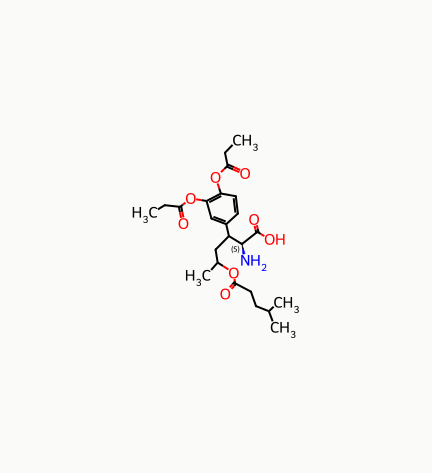 CCC(=O)Oc1ccc(C(CC(C)OC(=O)CCC(C)C)[C@H](N)C(=O)O)cc1OC(=O)CC